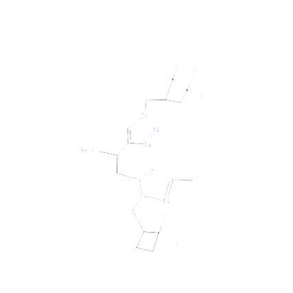 CC(C)c1c[n+](CC(C)c2cn(CC3CC(F)(F)C3(F)F)nn2)n(CC2CCC2(F)F)n1